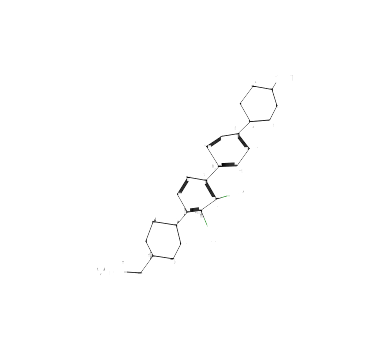 CCCC1CCC(c2ccc(-c3ccc(C4CCC(COC)CC4)c(F)c3F)cc2)CC1